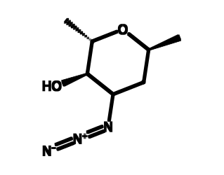 C[C@@H]1O[C@@H](C)CC(N=[N+]=[N-])[C@H]1O